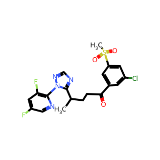 CC(CCC(=O)c1cc(Cl)cc(S(C)(=O)=O)c1)c1ncnn1-c1ncc(F)cc1F